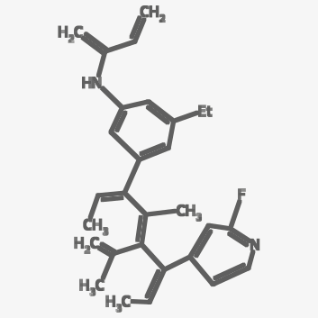 C=CC(=C)Nc1cc(CC)cc(C(=C/C)/C(C)=C(C(=C)C)/C(=C\C)c2ccnc(F)c2)c1